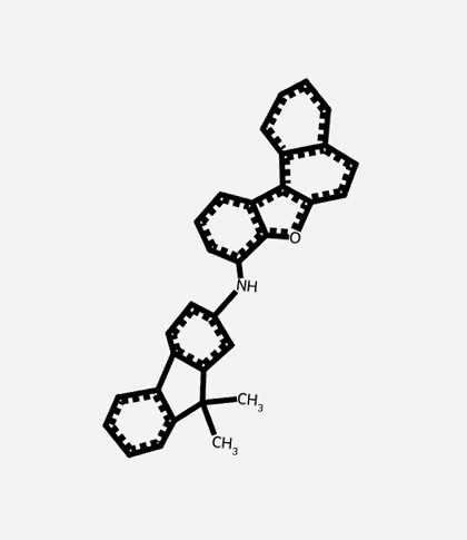 CC1(C)c2ccccc2-c2ccc(Nc3cccc4c3oc3ccc5ccccc5c34)cc21